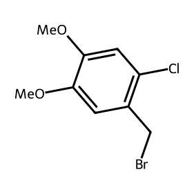 COc1cc(Cl)c(CBr)cc1OC